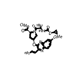 CCC/C=C/c1nc2ccc(OC)cc2nc1O[C@@H]1C[C@@H](C(=O)OC)N(C(=O)C(NC(=O)OC2CC2)C(C)(C)C)C1